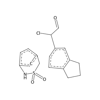 O=CC(Cl)c1ccc2c(c1)CCC2.O=S1(=O)Cc2ccc(cc2)N1